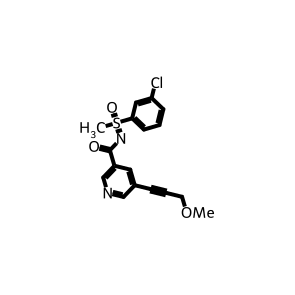 COCC#Cc1cncc(C(=O)N=S(C)(=O)c2cccc(Cl)c2)c1